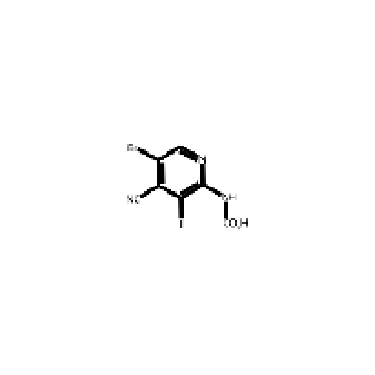 N#Cc1c(Br)cnc(NC(=O)O)c1I